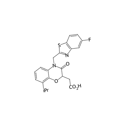 CC(C)c1cccc2c1OC(CC(=O)O)C(=O)N2Cc1nc2cc(F)ccc2s1